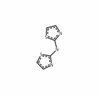 c1csc([N]c2nccs2)n1